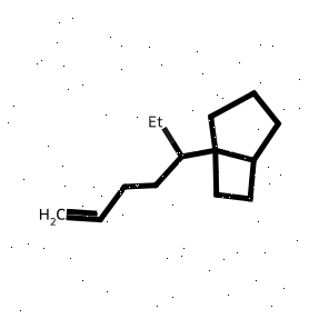 [CH2]CC(CCC=C)C12CCCC1CC2